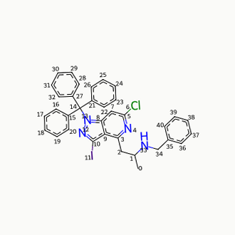 CC(Cc1nc(Cl)cc2c1c(I)nn2C(c1ccccc1)(c1ccccc1)c1ccccc1)NCc1ccccc1